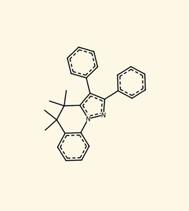 CC1(C)c2ccccc2-n2nc(-c3ccccc3)c(-c3ccccc3)c2C1(C)C